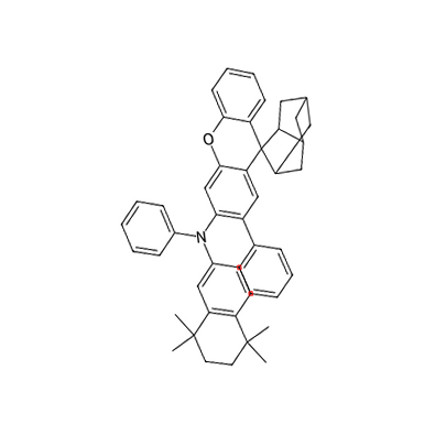 CC1(C)CCC(C)(C)c2cc(N(c3ccccc3)c3cc4c(cc3-c3ccccc3)C3(c5ccccc5O4)C4CC5CC(C4)C3C5)ccc21